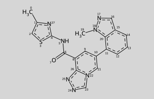 Cc1csc(NC(=O)c2cc(-c3cccc4cnn(C)c34)cn3cnnc23)n1